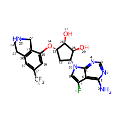 Nc1ncnc2c1c(F)cn2[C@@H]1C[C@H](Oc2cc(C(F)(F)F)cc3c2CNCC3)[C@@H](O)[C@H]1O